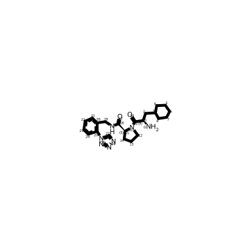 N[C@H](CC1CCCCC1)C(=O)N1CCC[C@H]1C(=O)NCc1ccccc1-n1cnnn1